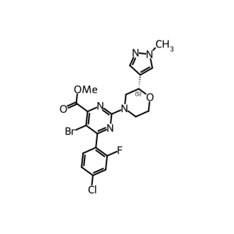 COC(=O)c1nc(N2CCO[C@@H](c3cnn(C)c3)C2)nc(-c2ccc(Cl)cc2F)c1Br